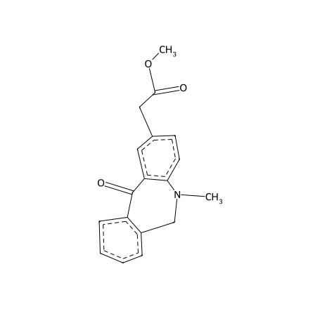 COC(=O)Cc1ccc2c(c1)C(=O)c1ccccc1CN2C